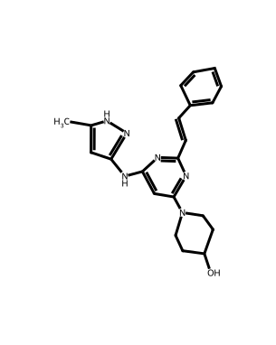 Cc1cc(Nc2cc(N3CCC(O)CC3)nc(/C=C/c3ccccc3)n2)n[nH]1